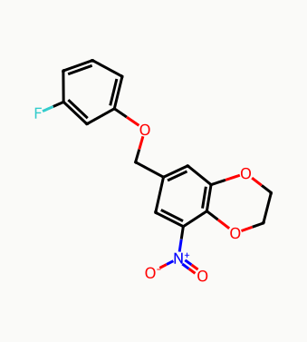 O=[N+]([O-])c1cc(COc2cccc(F)c2)cc2c1OCCO2